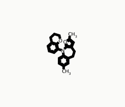 Cc1ccc2c(c1)CCc1cc(C)oc1N2c1cccc2c1OCCC2